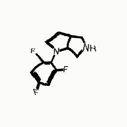 Fc1cc(F)c(N2CCC3CNCC32)c(F)c1